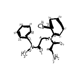 CN(C(=O)CN(C(=O)CN)c1ccccc1Cl)c1ccccc1